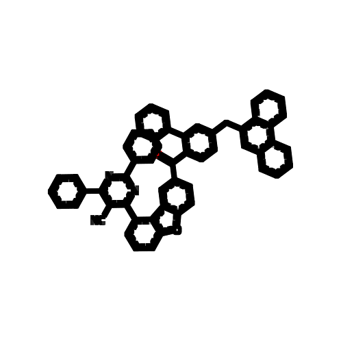 C=C(c1ccc2oc3cccc(-c4nc(-c5ccccc5)nc(-c5ccccc5)c4C#N)c3c2c1)c1ccc(Cc2cc3ccccc3c3ccccc23)cc1-c1ccccc1C